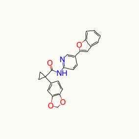 O=C(Nc1ccc(-c2cc3ccccc3o2)cn1)C1(c2ccc3c(c2)OCO3)CC1